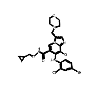 O=C(NOCC1CC1)c1cn2c(CN3CCOCC3)cnc2c(Cl)c1Nc1ccc(Br)cc1Cl